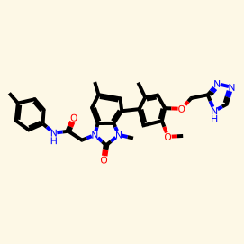 COc1cc(-c2cc(C)cc3c2n(C)c(=O)n3CC(=O)Nc2ccc(C)cc2)c(C)cc1OCc1nnc[nH]1